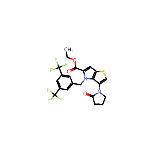 CCOC(=O)c1cc2scc(N3CCCC3=O)c2n1Cc1cc(C(F)(F)F)cc(C(F)(F)F)c1